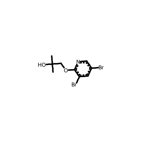 CC(C)(O)COc1ncc(Br)cc1Br